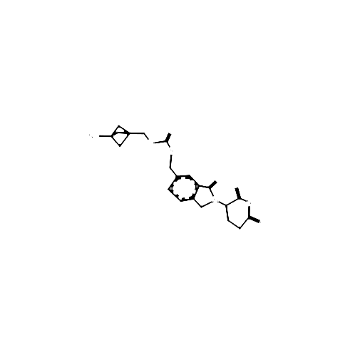 N#CC12CC(COC(=O)NCc3ccc4c(c3)C(=O)N(C3CCC(=O)NC3=O)C4)(C1)C2